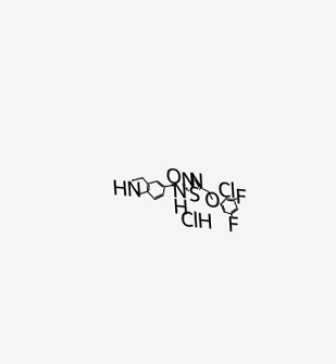 Cl.O=C(Nc1nnc(COc2cc(F)cc(F)c2Cl)s1)c1ccc2c(c1)CCNC2